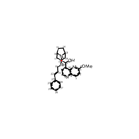 COc1ccc2nccc(C(O)CN3C4CCC3CC(NCC=Cc3ccccc3)C4)c2n1